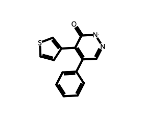 O=C1[N]N=CC(c2ccccc2)=C1c1ccsc1